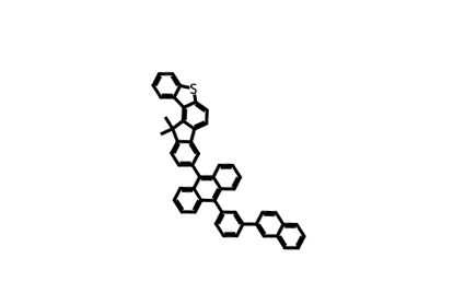 CC1(C)c2ccc(-c3c4ccccc4c(-c4cccc(-c5ccc6ccccc6c5)c4)c4ccccc34)cc2-c2ccc3sc4ccccc4c3c21